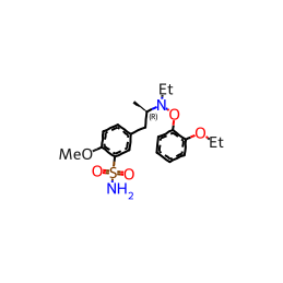 CCOc1ccccc1ON(CC)[C@H](C)Cc1ccc(OC)c(S(N)(=O)=O)c1